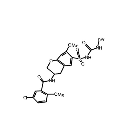 CCCNC(=O)NS(=O)(=O)c1cc2c(cc1OC)OCC(NC(=O)c1cc(Cl)ccc1OC)C2